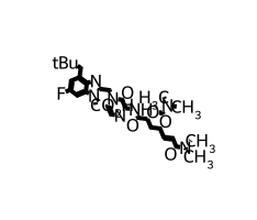 CN(C)C(=O)/C=C/CCC(OC(=O)N(C)C)C(=O)Nc1nccn(Cc2nc3c(CC(C)(C)C)cc(F)cc3n2C(=O)O)c1=O